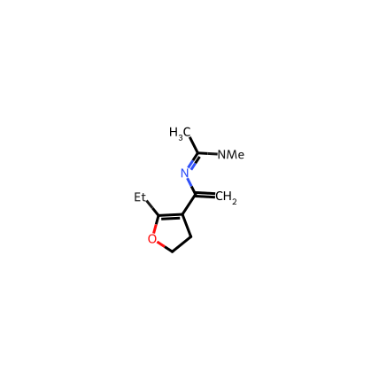 C=C(/N=C(/C)NC)C1=C(CC)OCC1